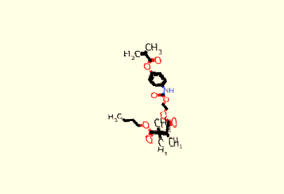 C=C(C)C(=O)Oc1ccc(NC(=O)OCCOC(=O)C(C)C(C)(C)C(=O)OCCCC)cc1